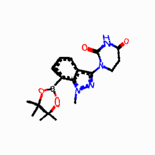 Cn1nc(N2CCC(=O)NC2=O)c2cccc(B3OC(C)(C)C(C)(C)O3)c21